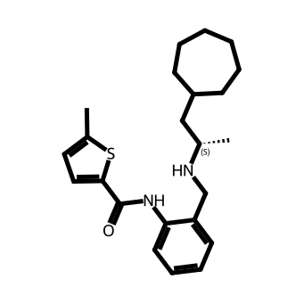 Cc1ccc(C(=O)Nc2ccccc2CN[C@@H](C)CC2CCCCCC2)s1